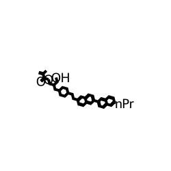 C=C(C)C(=O)OCC(CO)CC1CCC(CCc2ccc3cc(-c4ccc5cc(CCC)ccc5c4)ccc3c2)CC1